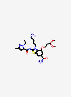 CCn1nc(C)cc1C(=O)/N=c1\sc2cc(C(N)=O)cc(OCCC(OC)OC)c2n1C/C=C/CN